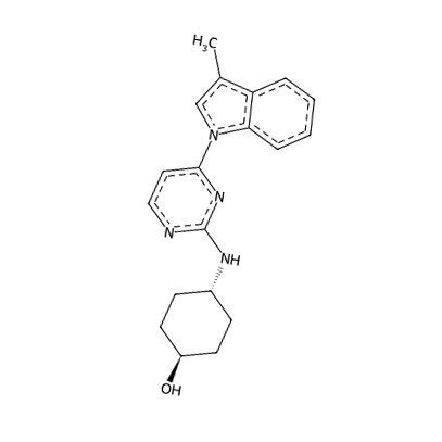 Cc1cn(-c2ccnc(N[C@H]3CC[C@H](O)CC3)n2)c2ccccc12